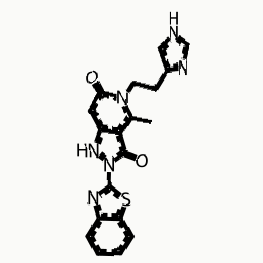 Cc1c2c(=O)n(-c3nc4ccccc4s3)[nH]c2cc(=O)n1CCc1c[nH]cn1